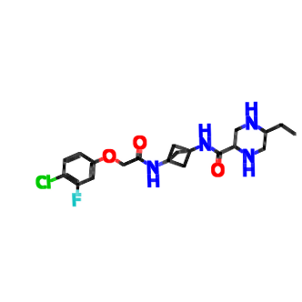 CCC1CNC(C(=O)NC23CC(NC(=O)COc4ccc(Cl)c(F)c4)(C2)C3)CN1